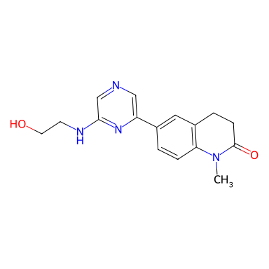 CN1C(=O)CCc2cc(-c3cncc(NCCO)n3)ccc21